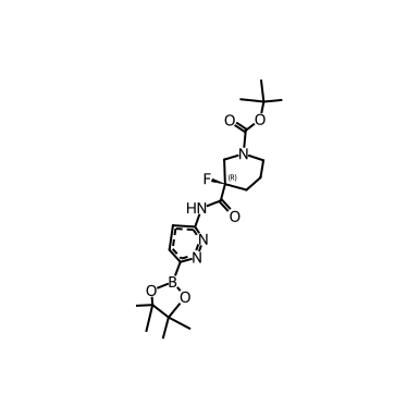 CC(C)(C)OC(=O)N1CCC[C@](F)(C(=O)Nc2ccc(B3OC(C)(C)C(C)(C)O3)nn2)C1